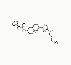 CC(C)CCCC(C)C1CCC2C3CC=C4C[C@@H](OC(=O)OC5CCO5)CCC4(C)C3CCC12C